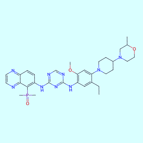 CCc1cc(Nc2ncnc(Nc3ccc4nccnc4c3P(C)(C)=O)n2)c(OC)cc1N1CCC(N2CCOC(C)C2)CC1